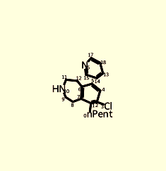 CCCCCc1c(Cl)ccc2c1CCNCC2.c1ccncc1